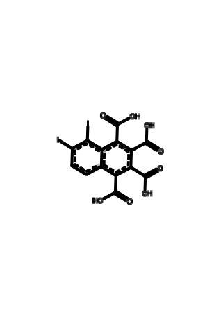 O=C(O)c1c(C(=O)O)c(C(=O)O)c2c(I)c(I)ccc2c1C(=O)O